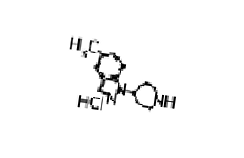 Cc1ccc2c(cnn2C2CCNCC2)c1.Cl